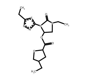 CCc1nnc(N2C(=O)N(CC)CC2OC(=O)C2CC(CC)CO2)s1